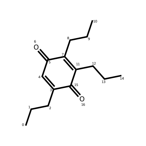 CCCC1=CC(=O)C(CCC)=C(CCC)C1=O